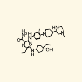 CCc1nc(C(N)=O)c(Nc2ccc(N3CCC(C4CN(C)CCN4)CC3)c(C)c2)nc1N[C@H]1CC[C@](O)(CC)CC1